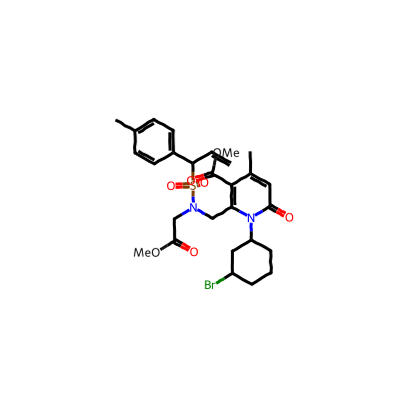 C=CC(c1ccc(C)cc1)S(=O)(=O)N(CC(=O)OC)Cc1c(C(=O)OC)c(C)cc(=O)n1C1CCCC(Br)C1